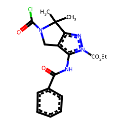 CCOC(=O)n1nc2c(c1NC(=O)c1ccccc1)CN(C(=O)Cl)C2(C)C